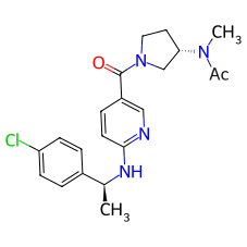 CC(=O)N(C)[C@H]1CCN(C(=O)c2ccc(N[C@@H](C)c3ccc(Cl)cc3)nc2)C1